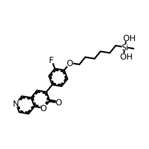 C[Si](O)(O)CCCCCCOc1ccc(-c2cc3cnccc3oc2=O)cc1F